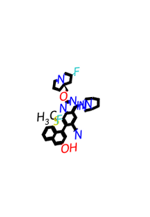 CSc1cccc2cc(O)cc(-c3c(C#N)cc4c(N5CC6CCC(C5)N6)nc(OC[C@@]56CCCN5C[C@H](F)C6)nc4c3F)c12